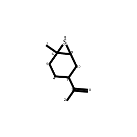 C=C(C)C1CCC2(C)SC2C1